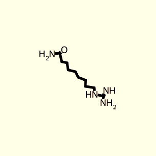 N=C(N)NCCCCCCCCC(N)=O